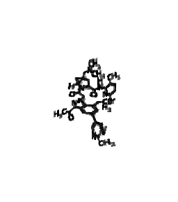 CCc1cc(-c2cnc(C)nc2)cc2c(C(C)=O)nn(CC(=O)N3[C@H](C(=O)Nc4nc(Br)ccc4C)C[C@@]4(CN(C)C)C[C@@H]34)c12